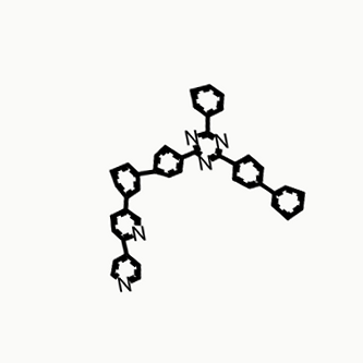 c1ccc(-c2ccc(-c3nc(-c4ccccc4)nc(-c4ccc(-c5cccc(-c6ccc(-c7ccncc7)nc6)c5)cc4)n3)cc2)cc1